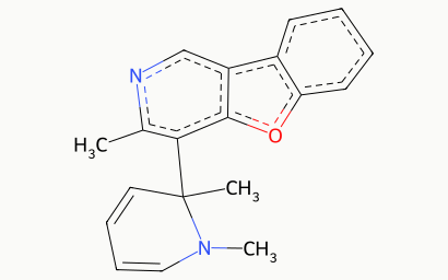 Cc1ncc2c(oc3ccccc32)c1C1(C)C=CC=CN1C